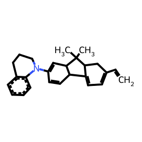 C=CC1=CC=C2C3C=CC(N4CCCc5ccccc54)=CC3C(C)(C)C2C1